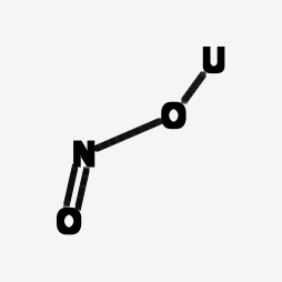 O=N[O][U]